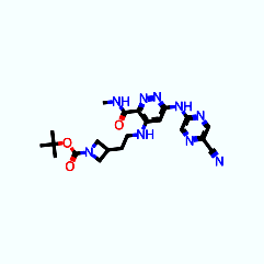 CNC(=O)c1nnc(Nc2cnc(C#N)cn2)cc1NCCC1CN(C(=O)OC(C)(C)C)C1